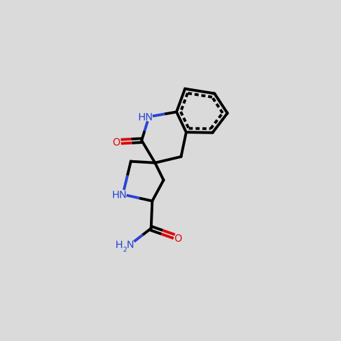 NC(=O)C1CC2(CN1)Cc1ccccc1NC2=O